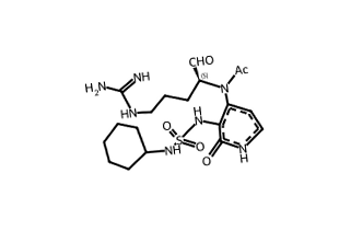 CC(=O)N(c1cc[nH]c(=O)c1NS(=O)(=O)NC1CCCCC1)[C@H](C=O)CCCNC(=N)N